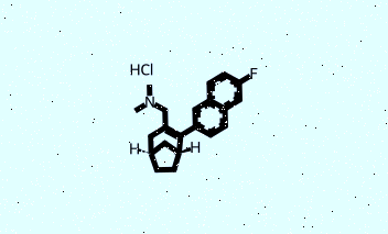 CN(C)CC1=C(c2ccc3cc(F)ccc3c2)[C@@H]2CC[C@@H](C1)C2.Cl